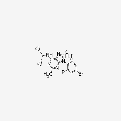 Cc1nc(NC(C2CC2)C2CC2)c2nc(C)n(-c3c(F)cc(Br)cc3F)c2n1